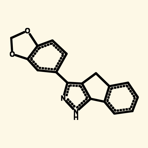 c1ccc2c(c1)Cc1c(-c3ccc4c(c3)OCO4)n[nH]c1-2